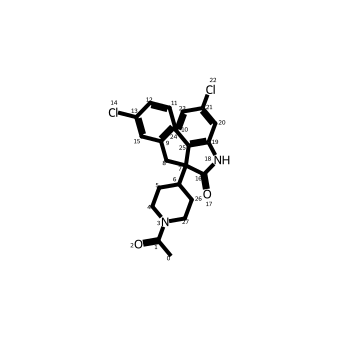 CC(=O)N1CCC(C2(Cc3cccc(Cl)c3)C(=O)Nc3cc(Cl)ccc32)CC1